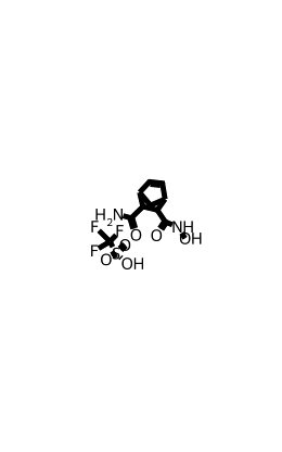 NC(=O)C1C2C=CC(C2)C1C(=O)NO.O=S(=O)(O)C(F)(F)F